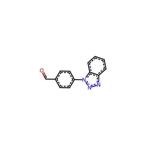 O=Cc1ccc(-n2nnc3ccccc32)cc1